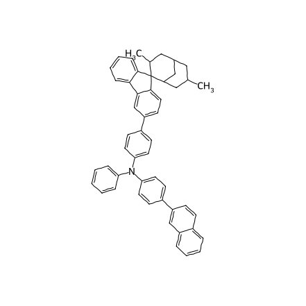 CC1CC2CC(C)C3(c4ccccc4-c4cc(-c5ccc(N(c6ccccc6)c6ccc(-c7ccc8ccccc8c7)cc6)cc5)ccc43)C(C1)C2